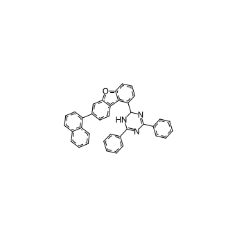 c1ccc(C2=NC(c3cccc4oc5cc(-c6cccc7ccccc67)ccc5c34)NC(c3ccccc3)=N2)cc1